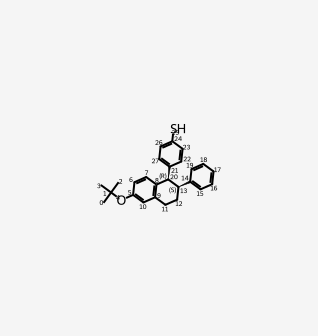 CC(C)(C)Oc1ccc2c(c1)CC[C@H](c1ccccc1)[C@@H]2c1ccc(S)cc1